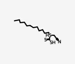 CCCCCCCCCCCC[SH](CC#N)C(=S)S